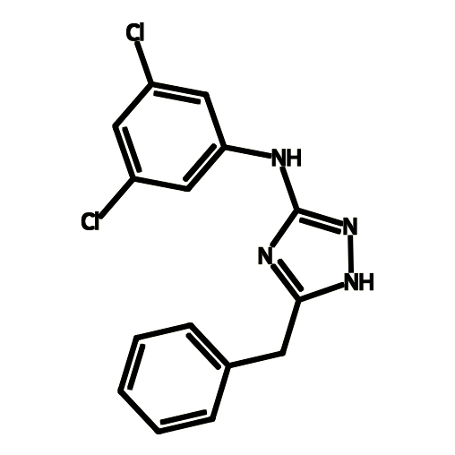 Clc1cc(Cl)cc(Nc2n[nH]c(Cc3ccccc3)n2)c1